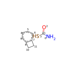 NC(=O)S.c1ccc2c(c1)CC2